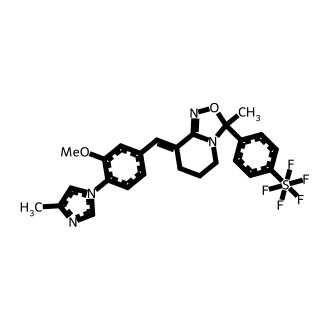 COc1cc(/C=C2\CCCN3C2=NOC3(C)c2ccc(S(F)(F)(F)(F)F)cc2)ccc1-n1cnc(C)c1